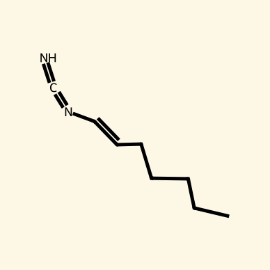 CCCCCC=CN=C=N